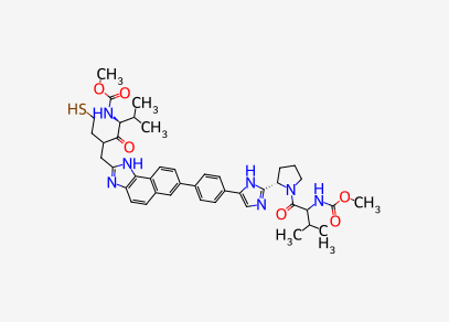 COC(=O)NC(C(=O)N1CCC[C@H]1c1ncc(-c2ccc(-c3ccc4c(ccc5nc(CC(CCS)C(=O)[C@@H](NC(=O)OC)C(C)C)[nH]c54)c3)cc2)[nH]1)C(C)C